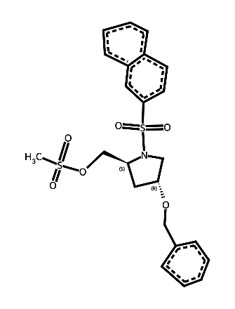 CS(=O)(=O)OC[C@@H]1C[C@@H](OCc2ccccc2)CN1S(=O)(=O)c1ccc2ccccc2c1